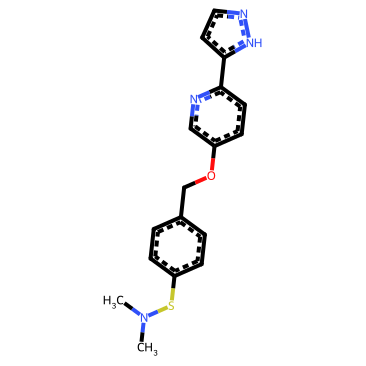 CN(C)Sc1ccc(COc2ccc(-c3ccn[nH]3)nc2)cc1